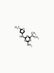 Cc1cc(Nc2nc(N)nc(N(C)C)n2)co1